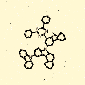 c1ccc(-c2nc(-c3ccccc3)nc(-c3cc(-n4c5ccc(-n6c7ccccc7c7ccccc76)cc5c5c6ccccc6ccc54)cc4c3sc3ccccc34)n2)cc1